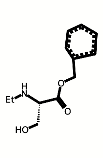 CCN[C@@H](CO)C(=O)OCc1ccccc1